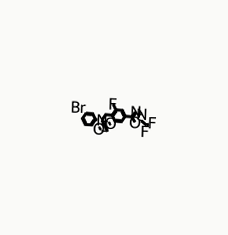 CS(=O)(=O)N(Cc1ccc(-c2nnc(C(F)F)o2)cc1F)c1cccc(Br)c1